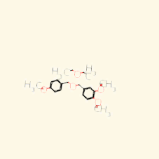 CCOCC.COc1ccc(COCc2ccc(OC)c(OC)c2)cc1